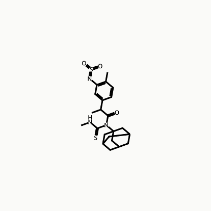 CNC(=S)N(C(=O)C(C)c1ccc(C)c(N=S(=O)=O)c1)C12CC3CC(CC(C3)C1)C2